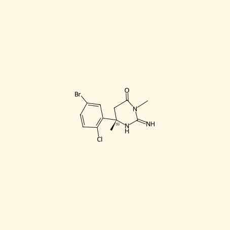 CN1C(=N)N[C@](C)(c2cc(Br)ccc2Cl)CC1=O